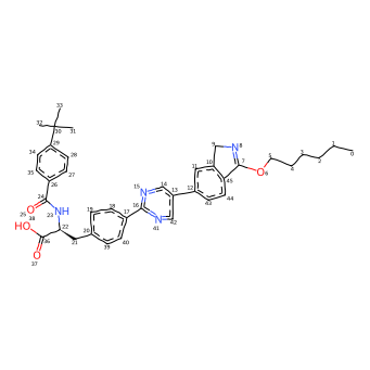 CCCCCCOC1=NCc2cc(-c3cnc(-c4ccc(C[C@H](NC(=O)c5ccc(C(C)(C)C)cc5)C(=O)O)cc4)nc3)ccc21